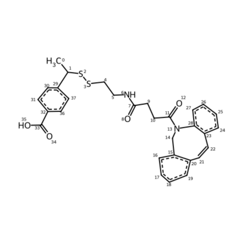 CC(SSCCNC(=O)CCC(=O)N1Cc2ccccc2/C=C\c2ccccc21)c1ccc(C(=O)O)cc1